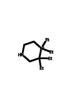 CCC1(CC)CNCC[N+]1(CC)CC